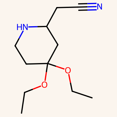 CCOC1(OCC)CCNC(CC#N)C1